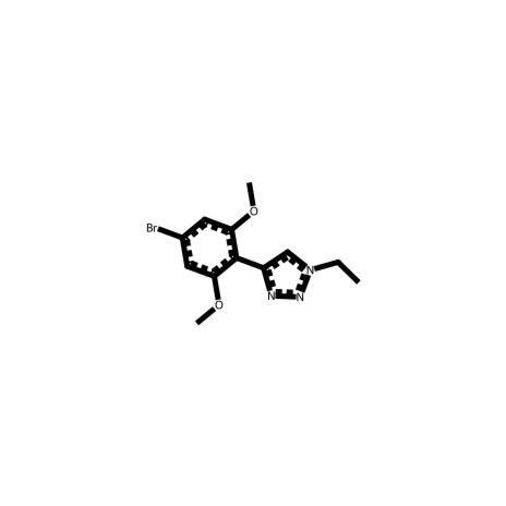 CCn1cc(-c2c(OC)cc(Br)cc2OC)nn1